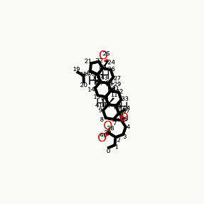 CCC1CCC(=O)C2(CC[C@]3(C)[C@H]4CC[C@@H]5[C@H]6[C@H](C(C)C)CC[C@]6(C=O)CC[C@@]5(C)[C@]4(C)CC[C@H]3C2(C)C)OC1=O